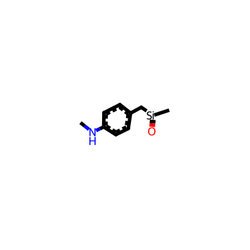 CNc1ccc(C[Si](C)=O)cc1